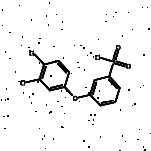 O=S(=O)(Cl)c1cccc(Oc2ccc(Cl)c(Cl)c2)c1